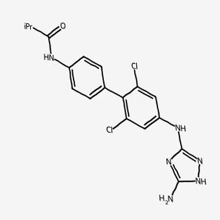 CC(C)C(=O)Nc1ccc(-c2c(Cl)cc(Nc3n[nH]c(N)n3)cc2Cl)cc1